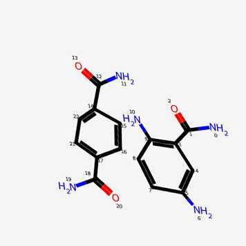 NC(=O)c1cc(N)ccc1N.NC(=O)c1ccc(C(N)=O)cc1